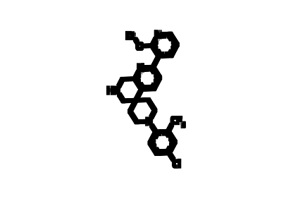 CCOc1ncccc1-c1ccc2c(n1)CNCC21CCN(c2ccc(Cl)cc2C(F)(F)F)CC1